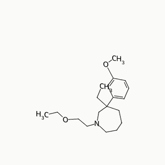 CCOCCN1CCCCC(CC)(c2cccc(OC)c2)C1